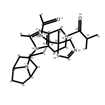 CC(=O)N[C@@H](CCN1C2CCC1CC(n1c(C)nc3c1CCN(C(=O)C(C)C)C3)C2)C1(C)CN=CS1